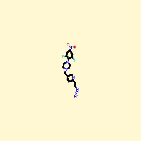 [N-]=[N+]=NCCc1ccc(CN2CCN(c3c(F)cc([N+](=O)[O-])cc3F)CC2)cn1